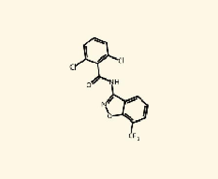 O=C(Nc1noc2c(C(F)(F)F)cccc12)c1c(Cl)cccc1Cl